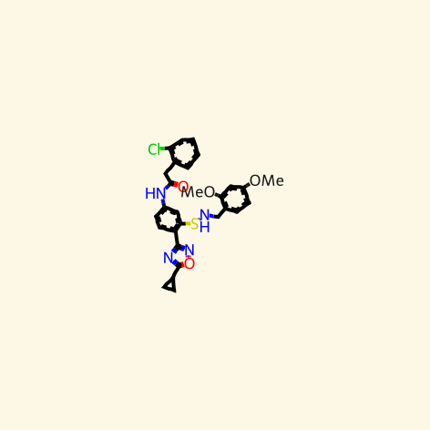 COc1ccc(CNSc2cc(NC(=O)Cc3ccccc3Cl)ccc2-c2noc(C3CC3)n2)c(OC)c1